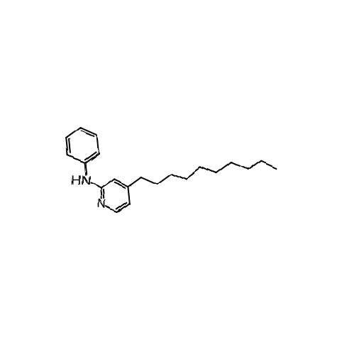 CCCCCCCCCCc1ccnc(Nc2ccccc2)c1